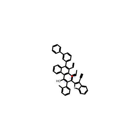 C#Cc1c(C(=C\C)/C(=C(/O)c2c(/C=C\C)c(C=C)c(-c3cccc(-c4ccccc4)c3)c3ccccc23)c2ccccc2C)sc2ccccc12